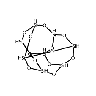 O1[SiH]2O[SiH]3O[SiH]4O[SiH]1O[SiH]1O[SiH](O2)O[SiH](O3)O[SiH](O4)O1